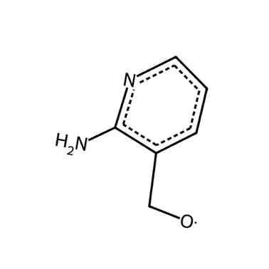 Nc1ncccc1C[O]